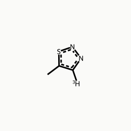 [3H]c1nnsc1C